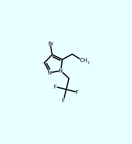 CCc1c(Br)[c]nn1CC(F)(F)F